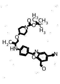 C=C(COC1CCN(C(=O)OC(C)(C)C)CC1)Nc1ccc(-c2nc3cc(C#N)cc(C=O)c3o2)cc1